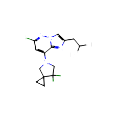 CC(C)Cc1cn2nc(Cl)cc(N3CC(F)(F)C4(CC4)C3)c2n1